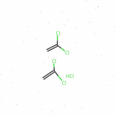 C=C(Cl)Cl.C=C(Cl)Cl.Cl